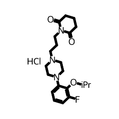 CC(C)Oc1c(F)cccc1N1CCN(CCCN2C(=O)CCCC2=O)CC1.Cl